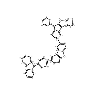 c1ccc(-n2c3ccc(-c4ccc5oc6ccc(-c7ccc(-n8c9ccccc9c9ccccc98)cc7)cc6c5c4)cc3c3c4ccccc4oc32)cc1